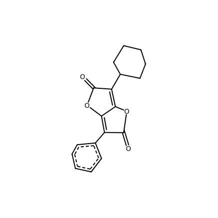 O=C1OC2=C(C3CCCCC3)C(=O)OC2=C1c1ccccc1